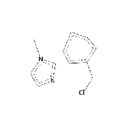 ClCc1ccccc1.Cn1ccnc1